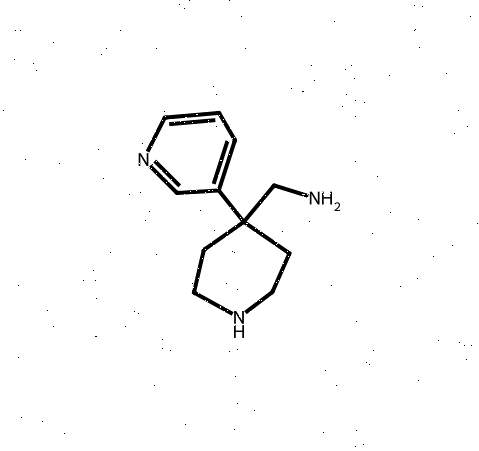 NCC1(c2cccnc2)CCNCC1